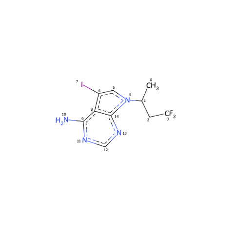 CC(CC(F)(F)F)n1cc(I)c2c(N)ncnc21